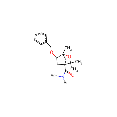 CC(=O)N(C(C)=O)C(=O)C12CC(OCc3ccccc3)C(C)(C1)OC2(C)C